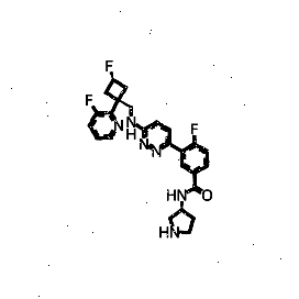 O=C(N[C@H]1CCNC1)c1ccc(F)c(-c2ccc(NC[C@]3(c4ncccc4F)C[C@H](F)C3)nn2)c1